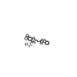 Cc1nc(/C=C/c2cn3c(n2)-c2ccccc2C3)nc2cc3c(cc12)OCO3